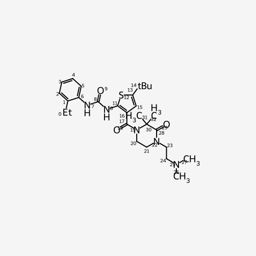 CCc1ccccc1NC(=O)Nc1sc(C(C)(C)C)cc1C(=O)N1CCN(CCN(C)C)C(=O)C1(C)C